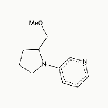 COCC1CCCN1c1cccnc1